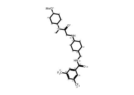 CO[C@H]1CC[C@@H](N(C)C(=O)CNC2CCC(CNC(=O)c3cc(C(F)(F)F)cc(C(F)(F)F)c3)CC2)CC1